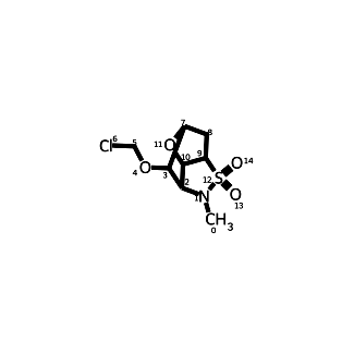 CN1C2C(OCCl)C3CC(C2O3)S1(=O)=O